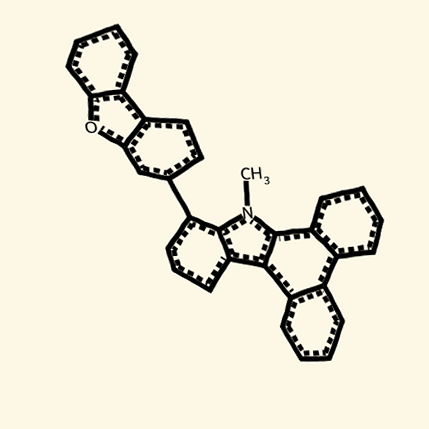 Cn1c2c(-c3ccc4c(c3)oc3ccccc34)cccc2c2c3ccccc3c3ccccc3c21